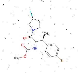 C[C@@H](c1ccc(Br)cc1)[C@H](NC(=O)OC(C)(C)C)C(=O)N1CC[C@H](F)C1